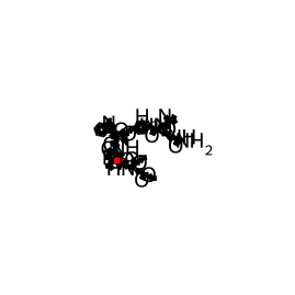 CCOC(=O)CC[C@@H](NC(=O)/C(C)=C/[C@H](C(C)C)N(C)C(=O)[C@@H](NC(=O)[C@@H](N(C)C(=O)OCc1ccc(NC(=O)[C@H](CCCNC(N)=O)NC(=O)C(N)C(C)C)cc1)C(C)(C)c1cn(C)c2ccccc12)C(C)(C)C)C(=O)OCC